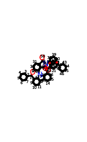 O=C(c1ccccc1)c1cccc2c3cccc(C(=O)c4ccccc4)c3n(-c3cccc4c3C(=O)N(c3cccc(-c5ccccc5)c3)C4=O)c12